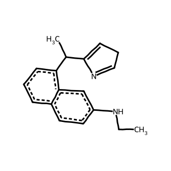 CCNc1ccc2cccc(C(C)C3=CCC=N3)c2c1